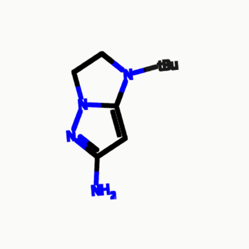 CC(C)(C)N1CCn2nc(N)cc21